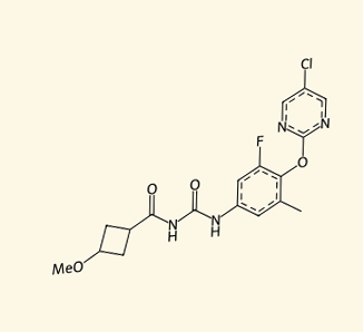 COC1CC(C(=O)NC(=O)Nc2cc(C)c(Oc3ncc(Cl)cn3)c(F)c2)C1